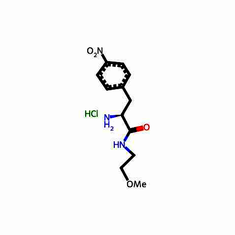 COCCNC(=O)[C@@H](N)Cc1ccc([N+](=O)[O-])cc1.Cl